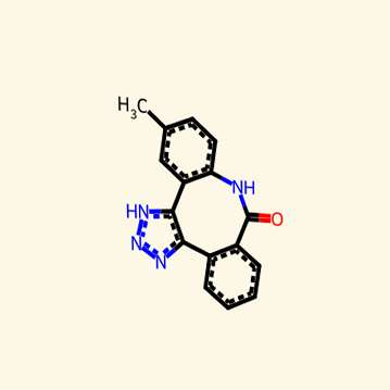 Cc1ccc2c(c1)-c1[nH]nnc1-c1ccccc1C(=O)N2